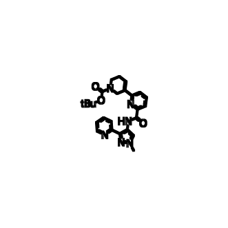 Cn1cc(NC(=O)c2cccc(C3=CCCN(C(=O)OC(C)(C)C)C3)n2)c(-c2ccccn2)n1